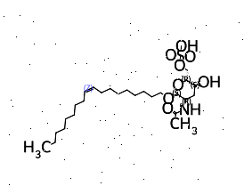 CCCCCCCC/C=C\CCCCCCCCO[C@H]1O[C@H](COS(=O)(=O)O)[C@@H](O)C[C@H]1NC(C)=O